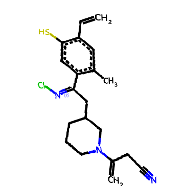 C=Cc1cc(C)c(/C(CC2CCCN(C(=C)CC#N)C2)=N\Cl)cc1S